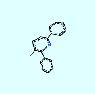 Ic1ccc(-c2ccccc2)nc1-c1ccccc1